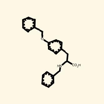 O=C(O)C(Cc1ccc(OCc2ccccc2)cc1)NCc1ccccc1